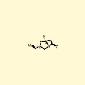 C=C[C@@H]1CN2C(=O)C[C@@H]2S1